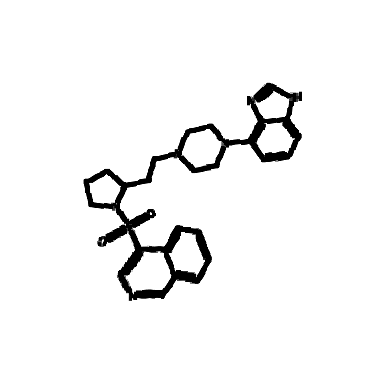 O=S(=O)(c1cncc2ccccc12)N1CCCC1CCN1CCN(c2cccc3[nH]cnc23)CC1